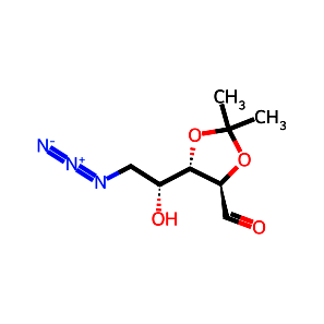 CC1(C)O[C@@H]([C@H](O)CN=[N+]=[N-])[C@H](C=O)O1